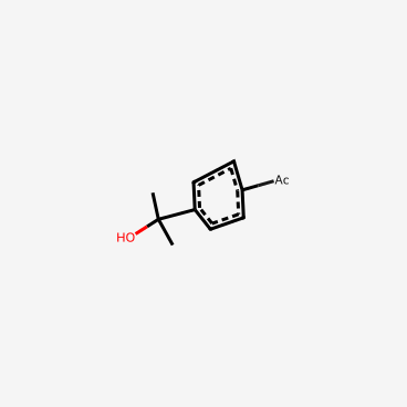 CC(=O)c1ccc(C(C)(C)O)cc1